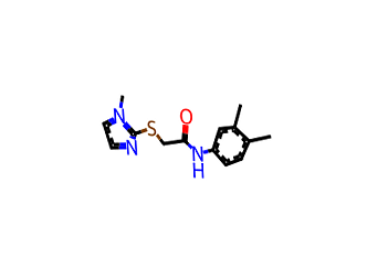 Cc1ccc(NC(=O)CSc2nccn2C)cc1C